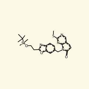 CSc1ncc2ccc(=O)n(Cc3ccc4nc(CCO[Si](C)(C)C(C)(C)C)oc4c3)c2n1